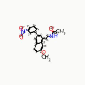 COc1ccc2cc(-c3cccc([N+](=O)[O-])c3)cc(CCNC(C)=O)c2c1